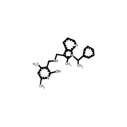 Cc1cc(C)c(CNCc2c(C)n(C(C)c3ccccc3)c3ncccc23)c(O)n1